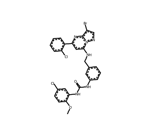 COc1ccc(Cl)cc1NC(=O)Nc1cccc(CNc2cc(-c3ccccc3Cl)nc3c(Br)cnn23)c1